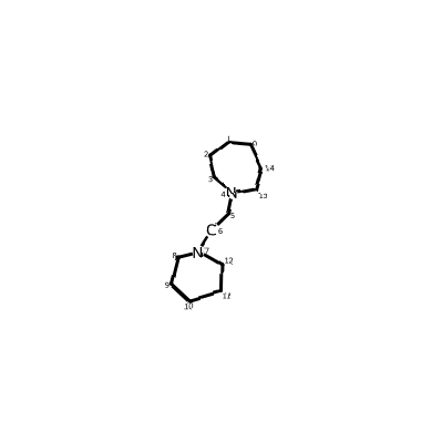 C1CCCN(CCN2CCCCC2)CC1